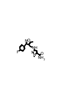 Cc1onc(-c2ccc(F)cc2)c1CNc1cc(C(N)=O)n(C)n1